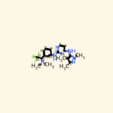 Cc1nn(C)c(Nc2ccnc(Nc3cccc(C(N(C)C)C(F)(F)F)c3)n2)c1C